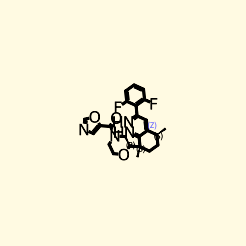 C[C@H]1CC[C@](C)([C@@H]2CN(C(=O)c3cnco3)CCO2)C(=N)/C1=C\C(=N)c1c(F)cccc1F